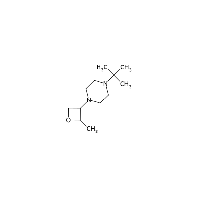 CC1OCC1N1CCN(C(C)(C)C)CC1